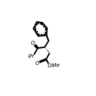 COC(=O)C[C@@H](Cc1ccccc1)C(=O)C(C)C